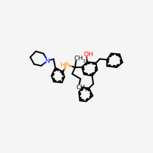 CCCC(C)(Pc1ccccc1CN1CCCCC1)c1cc(Cc2ccccc2)cc(Cc2ccccc2)c1O